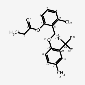 CCC(=O)Oc1cccc(Cl)c1COc1ccc(C)cc1C(F)(F)F